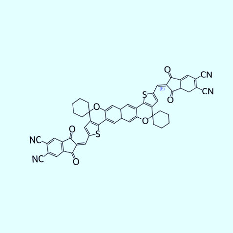 N#CC1=C(C#N)CC2C(=O)/C(=C\c3cc4c(s3)C3=CC5C=C6OC7(CCCCC7)c7cc(C=C8C(=O)c9cc(C#N)c(C#N)cc9C8=O)sc7C6=CC5C=C3OC43CCCCC3)C(=O)C2=C1